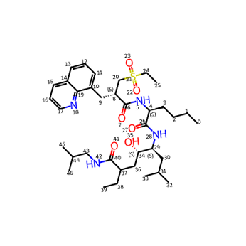 CCCC[C@H](NC(=O)[C@H](Cc1cccc2cccnc12)CS(=O)(=O)CC)C(=O)N[C@@H](CC(C)C)[C@@H](O)CC(CC)C(=O)NCC(C)C